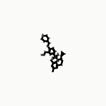 Cc1cc(C)c2c(c1)CCC(C1CC1)N2S(=O)(=O)c1ccc(OCC2CCOCC2)c(CO)c1